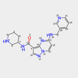 O=C(NC1CCCNC1)c1cnn2ccc(NCc3cccnc3)nc12